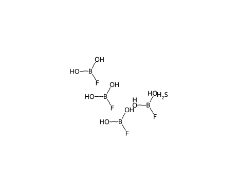 OB(O)F.OB(O)F.OB(O)F.OB(O)F.S